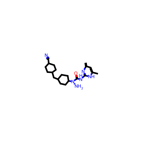 C=C1C=C(C)NC(NC(=O)N(N)C2CCC(CC3CCC(C#N)CC3)CC2)=N1